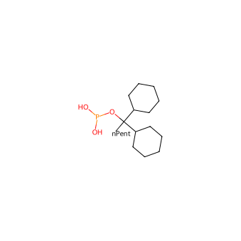 CCCCCC(OP(O)O)(C1CCCCC1)C1CCCCC1